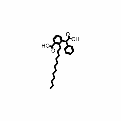 CCCCCCCCCCCCc1c(C(=O)O)cccc1C(C(=O)O)c1ccccc1